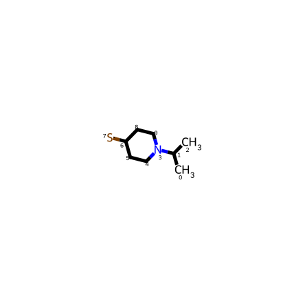 CC(C)N1CCC([S])CC1